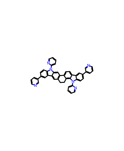 c1ccc(-n2c3ccc(-c4cccnc4)cc3c3cc4c(cc32)-c2ccc3c5cc(-c6cccnc6)ccc5n(-c5ccccn5)c3c2CC4)nc1